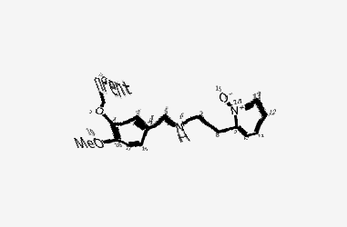 CCCCCOc1cc(CNCCc2cccc[n+]2[O-])ccc1OC